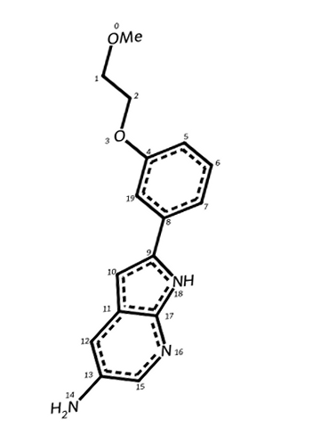 COCCOc1cccc(-c2cc3cc(N)cnc3[nH]2)c1